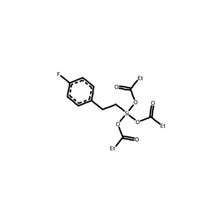 CCC(=O)O[Si](CCc1ccc(F)cc1)(OC(=O)CC)OC(=O)CC